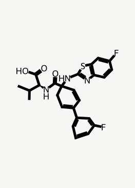 CC(C)[C@H](NC(=O)C1(Nc2nc3ccc(F)cc3s2)C=CC(c2cccc(F)c2)=CC1)C(=O)O